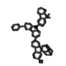 C[Si]1(C)c2ccccc2-c2cc(-n3c4ccc(-c5ccccc5)cc4c4cc(-c5ccc6c(c5)C5(c7cc(Cl)ccc7-6)C6CC7CC(C6)CC5C7)ccc43)ccc21